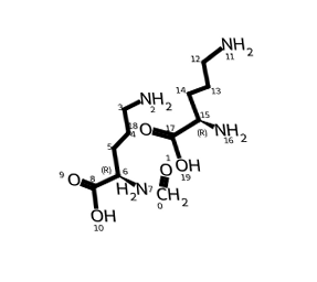 C=O.NCCC[C@@H](N)C(=O)O.NCCC[C@@H](N)C(=O)O